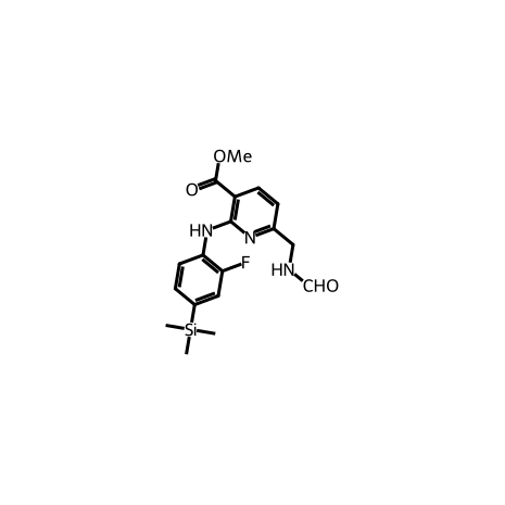 COC(=O)c1ccc(CNC=O)nc1Nc1ccc([Si](C)(C)C)cc1F